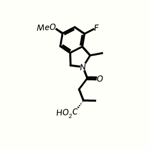 COc1cc(F)c2c(c1)CN(C(=O)C[C@H](C)C(=O)O)C2C